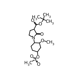 COC1CC(OS(C)(=O)=O)CCC1N1CCC(C(=O)OC(C)(C)C)C1=O